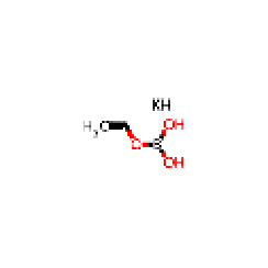 C=COB(O)O.[KH]